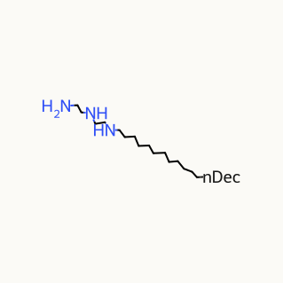 CCCCCCCCCCCCCCCCCCCCCCNCCNCCN